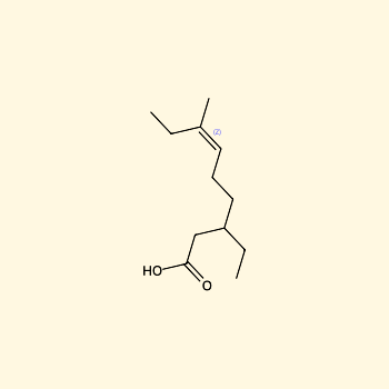 CC/C(C)=C\CCC(CC)CC(=O)O